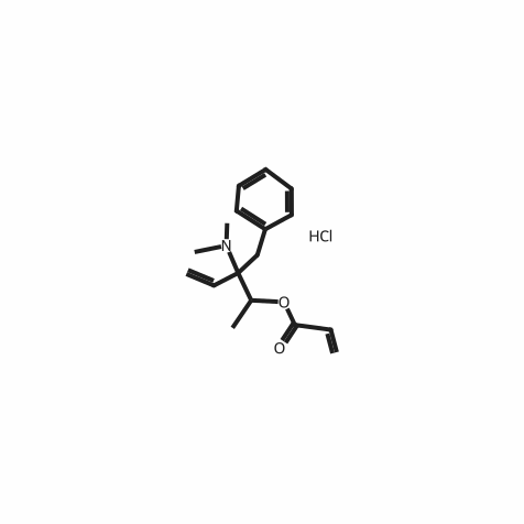 C=CC(=O)OC(C)C(C=C)(Cc1ccccc1)N(C)C.Cl